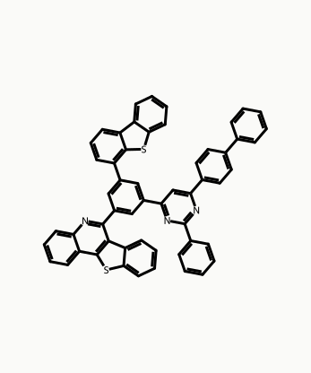 c1ccc(-c2ccc(-c3cc(-c4cc(-c5cccc6c5sc5ccccc56)cc(-c5nc6ccccc6c6sc7ccccc7c56)c4)nc(-c4ccccc4)n3)cc2)cc1